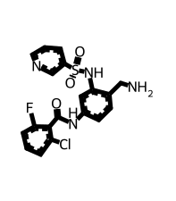 NCc1ccc(NC(=O)c2c(F)cccc2Cl)cc1NS(=O)(=O)c1cccnc1